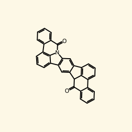 O=C1c2ccccc2-c2cccc3c2C1c1cc2c4cccc5c6ccccc6c(=O)n(c2cc1-3)c54